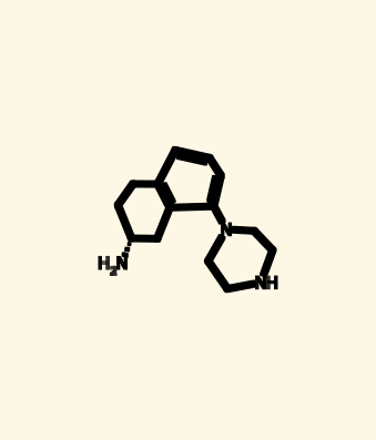 N[C@@H]1CCc2cccc(N3CCNCC3)c2C1